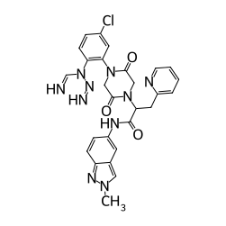 Cn1cc2cc(NC(=O)C(Cc3ccccn3)N3CC(=O)N(c4cc(Cl)ccc4N(C=N)N=N)CC3=O)ccc2n1